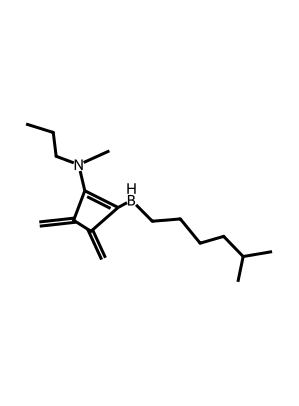 C=C1C(=C)C(N(C)CCC)=C1BCCCCC(C)C